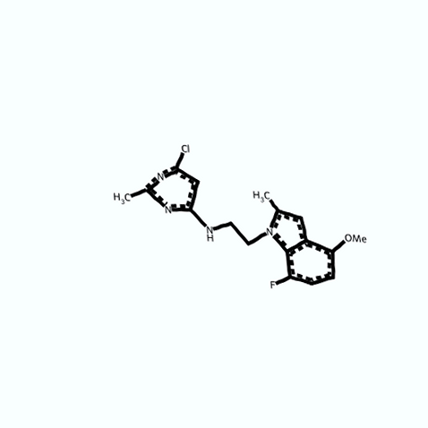 COc1ccc(F)c2c1cc(C)n2CCNc1cc(Cl)nc(C)n1